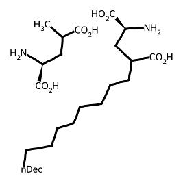 CC(C[C@H](N)C(=O)O)C(=O)O.CCCCCCCCCCCCCCCCCCC(C[C@H](N)C(=O)O)C(=O)O